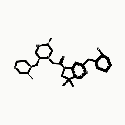 C[C@@H]1CN(CC(=O)N2CC(C)(C)c3cnc(Cc4ccccc4F)cc32)[C@@H](CN2CCOC[C@H]2C)CN1